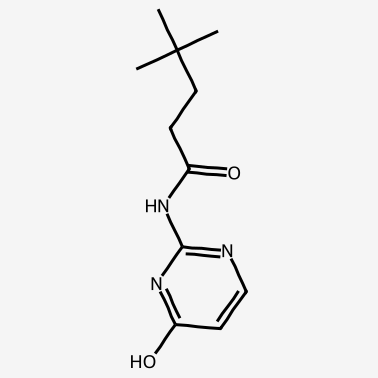 CC(C)(C)CCC(=O)Nc1nccc(O)n1